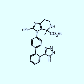 CCCc1nc2c(n1-c1ccc(-c3ccccc3-c3nnn[nH]3)cc1)C(C)(C(=O)OCC)NCC2